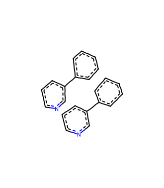 c1ccc(-c2cccnc2)cc1.c1ccc(-c2cccnc2)cc1